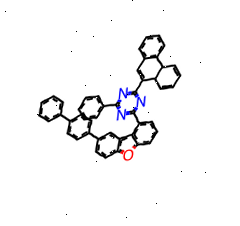 C1=CC2C(c3nc(-c4ccccc4)nc(-c4cccc5oc6ccc(-c7ccc(-c8ccccc8)cc7)cc6c45)n3)=Cc3ccccc3C2C=C1